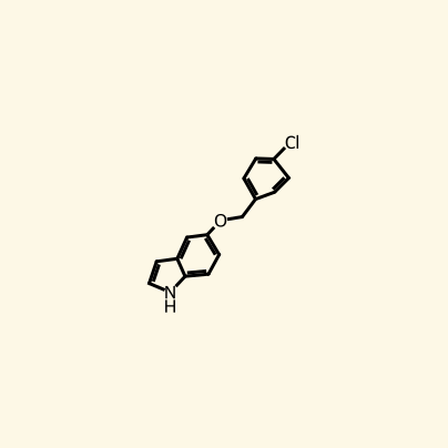 Clc1ccc(COc2ccc3[nH]ccc3c2)cc1